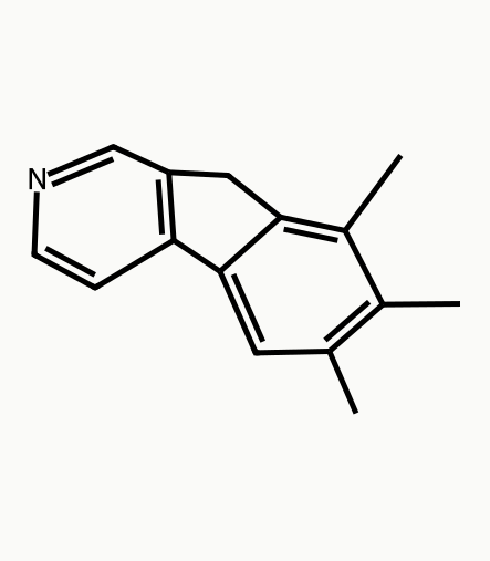 Cc1cc2c(c(C)c1C)Cc1cnccc1-2